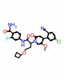 COc1cn(C(CCOC2CCC2)C(=O)Nc2ccc(C(N)=O)c(F)c2)c(=O)cc1-c1cc(Cl)ccc1C#N